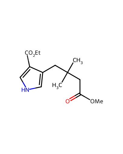 CCOC(=O)c1c[nH]cc1CC(C)(C)CC(=O)OC